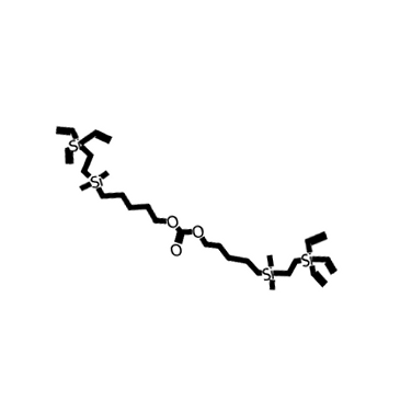 C=C[Si](C=C)(C=C)CC[Si](C)(C)CCCCCOC(=O)OCCCCC[Si](C)(C)CC[Si](C=C)(C=C)C=C